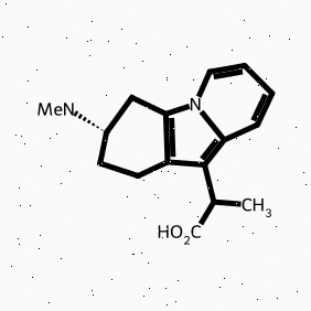 CN[C@H]1CCc2c(C(C)C(=O)O)c3ccccn3c2C1